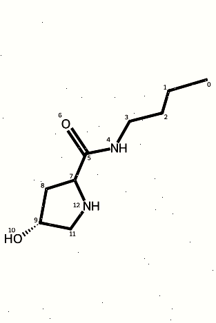 CCCCNC(=O)C1C[C@@H](O)CN1